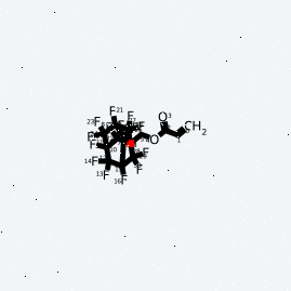 C=CC(=O)OCC12C(F)(F)C3(F)C(F)(F)C(F)(C(F)(F)C(F)(C3(F)F)C1(F)F)C2(F)F